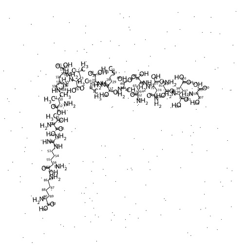 CC(C)C[C@H](N)C(=O)O.CC(C)[C@H](N)C(=O)O.CC[C@H](C)[C@H](N)C(=O)O.CSCC[C@H](N)C(=O)O.C[C@@H](O)[C@H](N)C(=O)O.C[C@H](N)C(=O)O.N=C(N)NCCC[C@H](N)C(=O)O.NC(=O)CC[C@H](N)C(=O)O.NC(=O)C[C@H](N)C(=O)O.NCC(=O)O.NCCCC[C@H](N)C(=O)O.N[C@@H](CCC(=O)O)C(=O)O.N[C@@H](CO)C(=O)O.N[C@@H](Cc1c[nH]cn1)C(=O)O